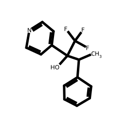 CC(c1ccccc1)C(O)(c1ccncc1)C(F)(F)F